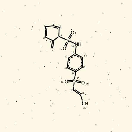 C=C1C=CC=CC1S(=O)(=O)Nc1ccc(S(=O)(=O)C=CC#N)cc1